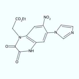 CCOC(=O)Cn1c(=O)c(=O)[nH]c2cc(-n3ccnc3)c([N+](=O)[O-])cc21